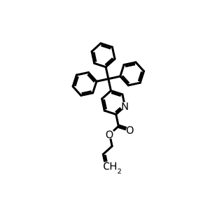 C=CCOC(=O)c1ccc(C(c2ccccc2)(c2ccccc2)c2ccccc2)cn1